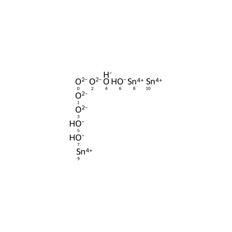 [O-2].[O-2].[O-2].[O-2].[OH-].[OH-].[OH-].[OH-].[Sn+4].[Sn+4].[Sn+4]